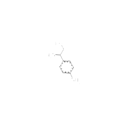 Nc1ccc(C(N)CO)cc1